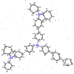 C1=CC2CC1CC2c1ccc(-c2ccc(N(c3ccc(-c4ccc5c(c4)c4ccccc4n5-c4ccccc4)cc3)c3ccc(-c4ccc5c(c4)c4ccccc4n5-c4ccccc4)cc3)cc2)cc1